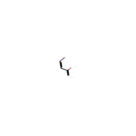 C=C(O)/C=C\I